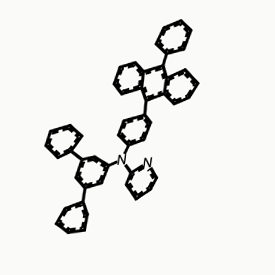 c1ccc(-c2cc(-c3ccccc3)cc(N(c3ccc(-c4c5ccccc5c(-c5ccccc5)c5ccccc45)cc3)c3ccccn3)c2)cc1